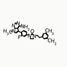 Cc1cc(C)cc(CCN2CCN(c3ccc(-c4cn(C)c5ncnc(N)c45)c(F)c3)C2=O)c1